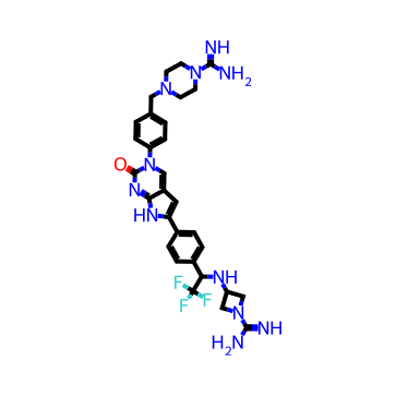 N=C(N)N1CCN(Cc2ccc(-n3cc4cc(-c5ccc(C(NC6CN(C(=N)N)C6)C(F)(F)F)cc5)[nH]c4nc3=O)cc2)CC1